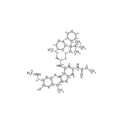 CCC[C@@H](CCO[Si](c1ccccc1)(c1ccccc1)C(C)(C)C)Nc1nc(NC(=O)OC)nc2cnn(Cc3cc(CNC)c(F)cc3OC)c12